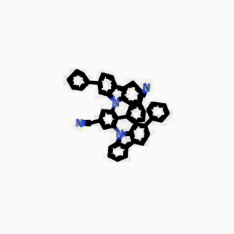 N#Cc1cccc(-c2c(-n3c4ccccc4c4ccc(-c5ccccc5)cc43)cc(C#N)cc2-n2c3ccccc3c3ccc(-c4ccccc4)cc32)c1